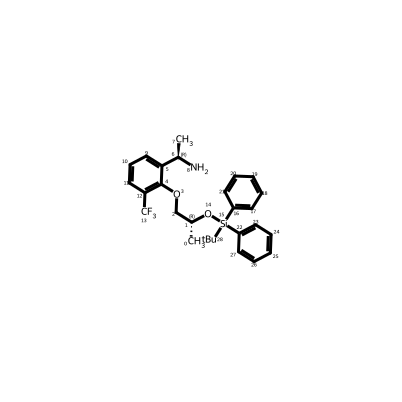 C[C@H](COc1c([C@@H](C)N)cccc1C(F)(F)F)O[Si](c1ccccc1)(c1ccccc1)C(C)(C)C